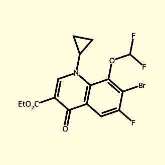 CCOC(=O)c1cn(C2CC2)c2c(OC(F)F)c(Br)c(F)cc2c1=O